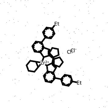 CCc1ccc(-c2cccc3c2C=C(C2CCCC2)[CH]3[Zr+2]2([CH]3C(C4CCCC4)=Cc4c(-c5ccc(CC)cc5)cccc43)[CH]3CCCC[CH]32)cc1.[Cl-].[Cl-]